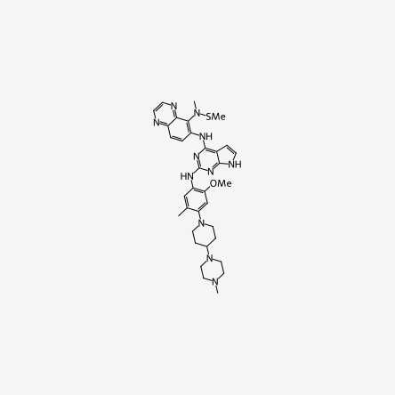 COc1cc(N2CCC(N3CCN(C)CC3)CC2)c(C)cc1Nc1nc(Nc2ccc3nccnc3c2N(C)SC)c2cc[nH]c2n1